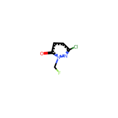 O=c1ccc(Cl)nn1CF